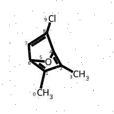 Cc1c(C)c2oc1cc2Cl